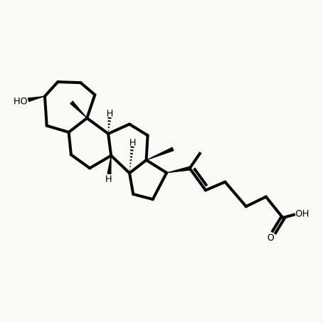 C/C(=C\CCCC(=O)O)[C@H]1CC[C@H]2[C@@H]3CCC4C[C@@H](O)CCC[C@]4(C)[C@H]3CC[C@]12C